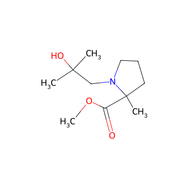 COC(=O)C1(C)CCCN1CC(C)(C)O